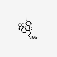 C#CC(=O)O.CNCCC(Oc1ccc(I)cc1)c1ccccc1